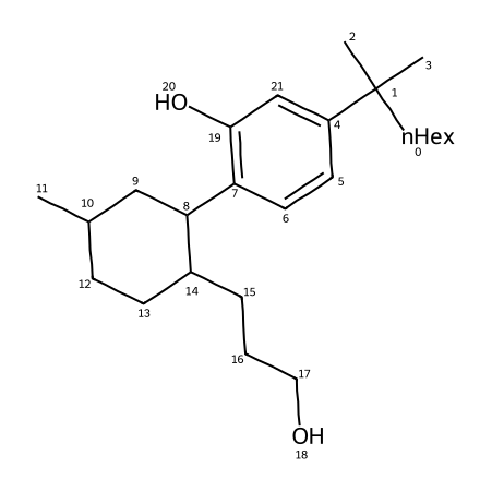 CCCCCCC(C)(C)c1ccc(C2CC(C)CCC2CCCO)c(O)c1